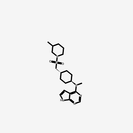 CC1CCCN(S(=O)(=O)C[C@H]2CC[C@H](N(C)c3ncnc4[nH]ccc34)CC2)C1